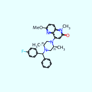 COc1ccc2c(n1)c(N1C[C@@H](C)N(C(c3ccccc3)c3ccc(F)cc3)C[C@@H]1C)cc(=O)n2C